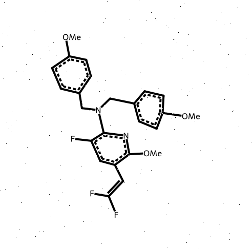 COc1ccc(CN(Cc2ccc(OC)cc2)c2nc(OC)c(C=C(F)F)cc2F)cc1